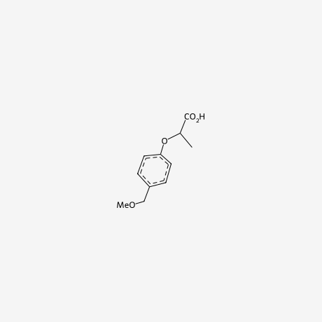 COCc1ccc(OC(C)C(=O)O)cc1